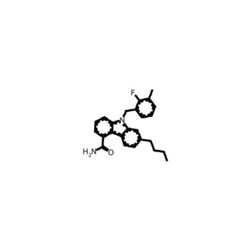 CCCCc1c[c]c2c3c(C(N)=O)cccc3n(Cc3cccc(C)c3F)c2c1